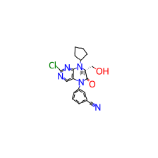 N#Cc1cccc(N2C(=O)[C@@H](CO)N(C3CCCC3)c3nc(Cl)ncc32)c1